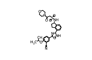 CC(C)Oc1ccc(C2=NC(c3cccc4c3CC[C@H]4NS(=O)(=O)CC(=O)N3CCOCC3)NO2)cc1C#N